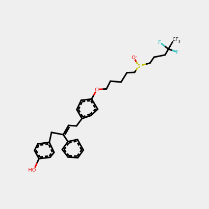 [O-][S+](CCCCCOc1ccc(CC=C(Cc2ccc(O)cc2)c2ccccc2)cc1)CCCC(F)(F)C(F)(F)F